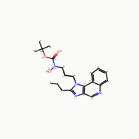 CCCc1nc2cnc3ccccc3c2n1CCCN(O)C(=O)OC(C)(C)C